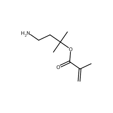 C=C(C)C(=O)OC(C)(C)CCN